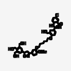 COc1ccc(C2=NOC(c3cc(CO)c(CO)c(CO)c3)C2)cc1OCCCCCCOc1ccc(C2NC(=O)c3cc(Cl)ccc3N2)cc1CO